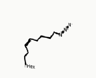 CCCCCCCC/C=C\CCCCN=[N+]=[N-]